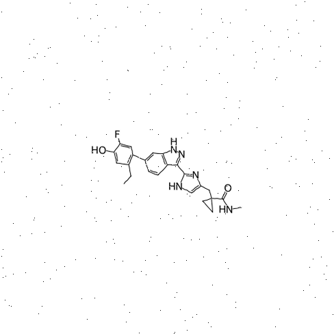 CCc1cc(O)c(F)cc1-c1ccc2c(-c3nc(CC4(C(=O)NC)CC4)c[nH]3)n[nH]c2c1